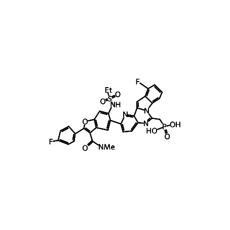 CCS(=O)(=O)Nc1cc2oc(-c3ccc(F)cc3)c(C(=O)NC)c2cc1-c1ccc2nc(CP(=O)(O)O)n3c4cccc(F)c4cc3c2n1